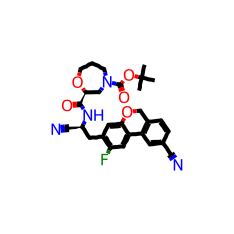 CC(C)(C)OC(=O)N1CCCO[C@H](C(=O)N[C@H](C#N)Cc2cc3c(cc2F)-c2cc(C#N)ccc2CO3)C1